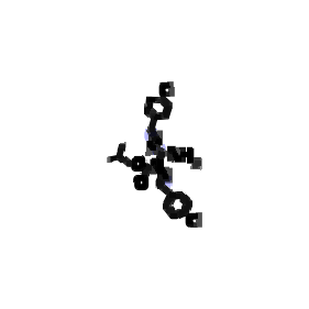 CC(C)COC(=O)N(/N=C/c1ccc(Cl)cc1)/C(N)=N/N=C/c1ccc(Cl)cc1